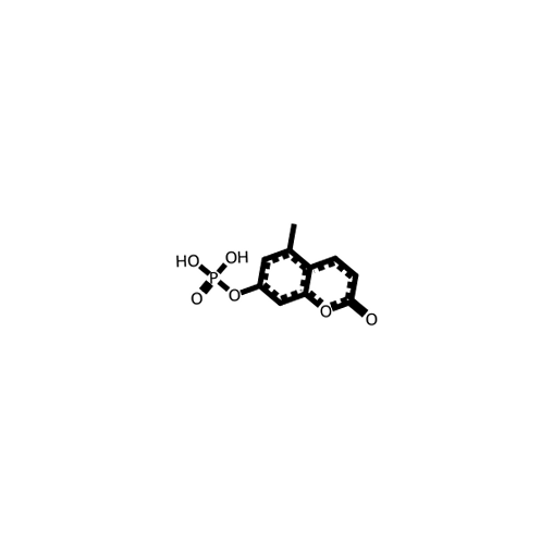 Cc1cc(OP(=O)(O)O)cc2oc(=O)ccc12